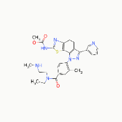 CCN(CCNC)C(=O)c1ccc(-n2nc(-c3cccnc3)c3c2-c2sc(NC(=O)OC)nc2CC3)c(C)c1